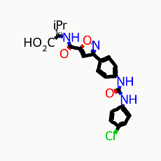 CC(C)[C@H](NC(=O)c1cc(-c2ccc(NC(=O)Nc3ccc(Cl)cc3)cc2)no1)C(=O)O